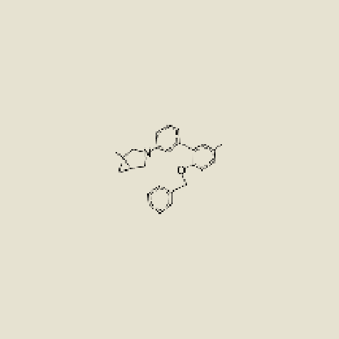 Cc1ccc(OCc2ccccc2)c(-c2cccc(N3CC4CC4(C)C3)c2)c1